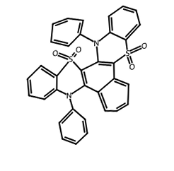 O=S1(=O)c2ccccc2N(c2ccccc2)c2c1c1c(c3ccccc23)S(=O)(=O)c2ccccc2N1c1ccccc1